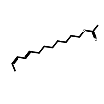 C/C=C\C=C\CCCCCCCOC(C)=O